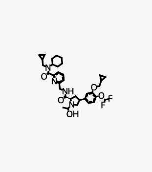 CC(O)N1CC(c2ccc(OC(F)F)c(OCC3CC3)c2)C[C@@H]1C(=O)NCc1cccc(C(=O)N(CC2CC2)C2CCCCC2)n1